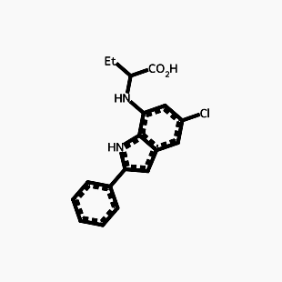 CCC(Nc1cc(Cl)cc2cc(-c3ccccc3)[nH]c12)C(=O)O